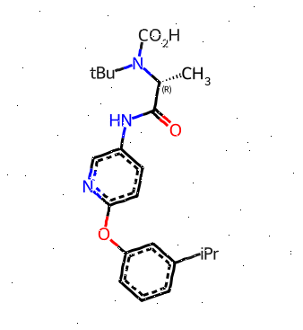 CC(C)c1cccc(Oc2ccc(NC(=O)[C@@H](C)N(C(=O)O)C(C)(C)C)cn2)c1